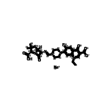 CCn1cc(C(=O)[O-])c(=O)c2cc(F)c(N3CCN(C=N[C@@H]4C(=O)N5[C@@H]4SC(C)(C)[C@@H]5C(=O)O)CC3)cc21.[Na+]